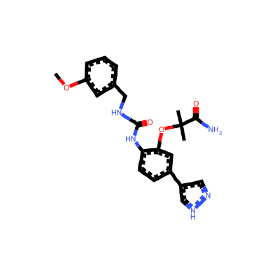 COc1cccc(CNC(=O)Nc2ccc(-c3cn[nH]c3)cc2OC(C)(C)C(N)=O)c1